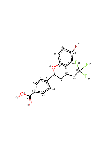 COC(=O)c1ccc(C(CCCC(F)(F)F)Oc2ccc(Br)cc2)cc1